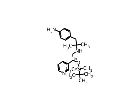 CC(C)(Cc1ccc(N)cc1)NC[C@H](O[Si](C)(C)C(C)(C)C)c1cccnc1